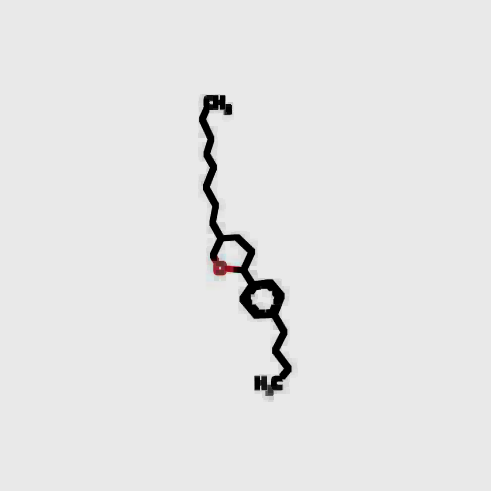 CCCCCCCCC1CCC(c2ccc(CCCC)cc2)OC1